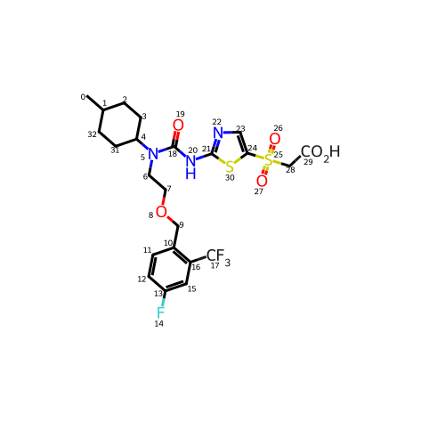 CC1CCC(N(CCOCc2ccc(F)cc2C(F)(F)F)C(=O)Nc2ncc(S(=O)(=O)CC(=O)O)s2)CC1